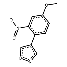 COc1ccc(-c2cnoc2)c([N+](=O)[O-])c1